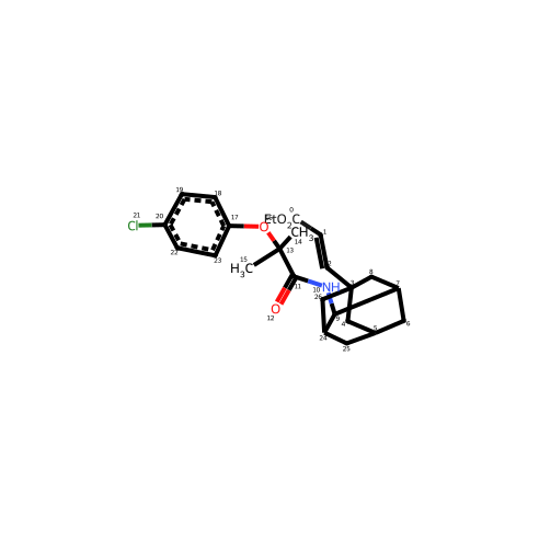 CCOC(=O)C=CC12CC3CC(C1)C(NC(=O)C(C)(C)Oc1ccc(Cl)cc1)C(C3)C2